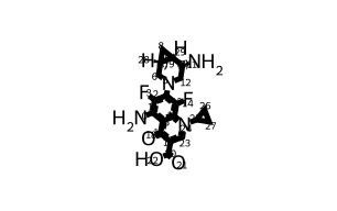 Nc1c(F)c(N2C[C@@H]3C[C@@H]3[C@@H](N)C2)c(F)c2c1c(=O)c(C(=O)O)cn2C1CC1